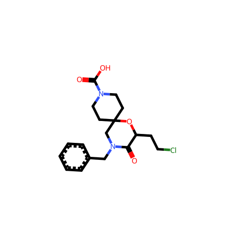 O=C(O)N1CCC2(CC1)CN(Cc1ccccc1)C(=O)C(CCCl)O2